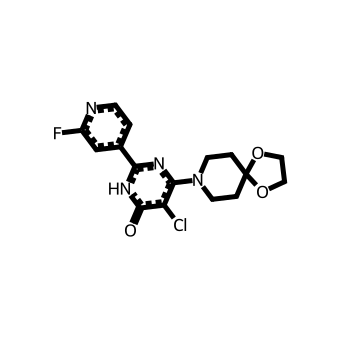 O=c1[nH]c(-c2ccnc(F)c2)nc(N2CCC3(CC2)OCCO3)c1Cl